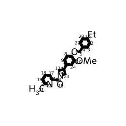 CCc1ccc(COc2ccc(C3CN(C(=O)c4cccc(C)n4)C3)cc2OC)cc1